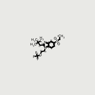 CCS(=O)(=O)c1ccc2c(c1)nc(CC(C)(C)C)n2CCOC(F)(F)F